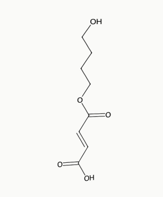 O=C(O)C=CC(=O)OCCCCO